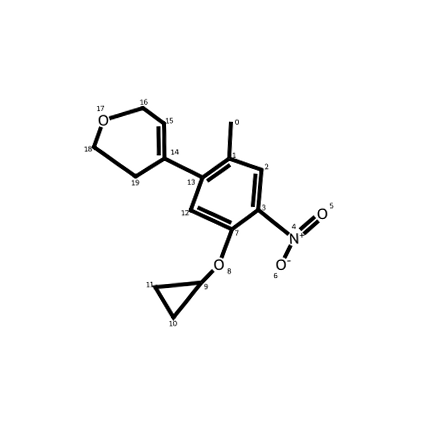 Cc1cc([N+](=O)[O-])c(OC2CC2)cc1C1=CCOCC1